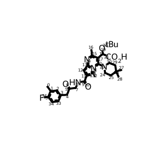 Cc1cc(CC(=O)CNC(=O)c2cc3nc(C)c(C(OC(C)(C)C)C(=O)O)c(N4CCC(C)(C)CC4)n3n2)ccc1F